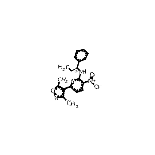 CC[C@H](Nc1nc(-c2c(C)noc2C)ccc1[N+](=O)[O-])c1ccccc1